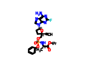 C#C[C@@]1(CO[P@@](=O)(N[C@@H](C)C(=O)OC(C)C)Oc2ccccc2)CC[C@H](n2cnc3c(N)nc(F)nc32)O1